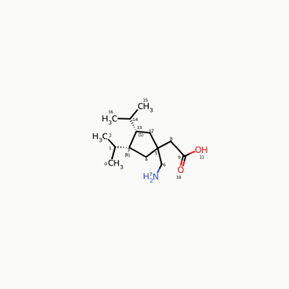 CC(C)[C@H]1CC(CN)(CC(=O)O)C[C@H]1C(C)C